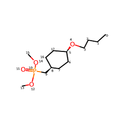 CCCCO[C@H]1CC[C@@H](CP(=O)(OC)OC)CC1